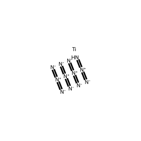 [N-]=[N+]=N.[N-]=[N+]=[N-].[N-]=[N+]=[N-].[N-]=[N+]=[N-].[Ti]